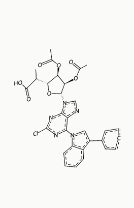 CC(=O)O[C@@H]1[C@H](OC(C)=O)[C@@H](C(C)C(=O)O)O[C@H]1n1cnc2c(-n3cc(-c4ccccc4)c4ccccc43)nc(Cl)nc21